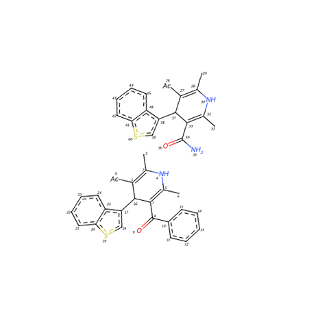 CC(=O)C1=C(C)NC(C)=C(C(=O)c2ccccc2)C1c1csc2ccccc12.CC(=O)C1=C(C)NC(C)=C(C(N)=O)C1c1csc2ccccc12